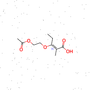 CC/C(OCCOC(C)=O)=C(/C)C(=O)O